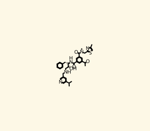 CC(=O)c1cc(C(=O)N[C@@H](Cc2ccccc2)[C@H](O)CNCc2cncc(C(C)C)c2)cc(C(=O)N(C)Cc2nc(C)cs2)c1